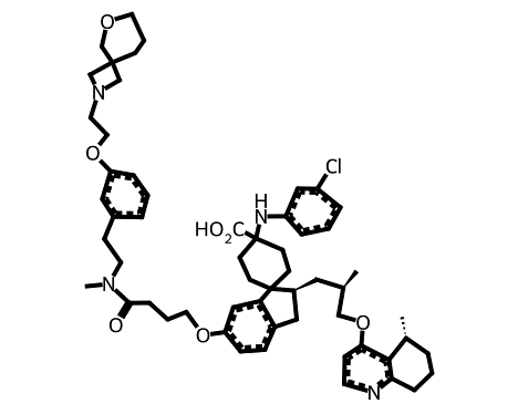 C[C@@H](COc1ccnc2c1[C@H](C)CCC2)C[C@H]1Cc2ccc(OCCCC(=O)N(C)CCc3cccc(OCCN4CC5(CCCOC5)C4)c3)cc2C12CCC(Nc1cccc(Cl)c1)(C(=O)O)CC2